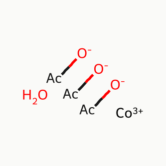 CC(=O)[O-].CC(=O)[O-].CC(=O)[O-].O.[Co+3]